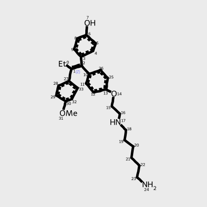 CC/C(=C(\c1ccc(O)cc1)c1ccc(OCCNCCCCCCN)cc1)c1ccc(OC)cc1